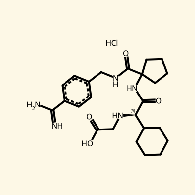 Cl.N=C(N)c1ccc(CNC(=O)C2(NC(=O)[C@H](NCC(=O)O)C3CCCCC3)CCCC2)cc1